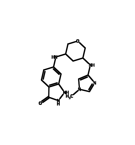 Cn1cnc(NC2COCC(Nc3ccc4c(=O)[nH][nH]c4c3)C2)c1